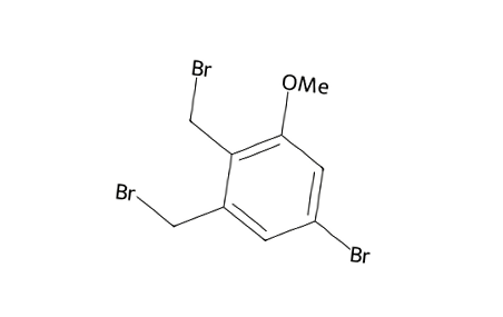 COc1cc(Br)cc(CBr)c1CBr